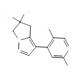 Cc1cc(-c2cnn3c2CC(C)(C)C3)c(Cl)cn1